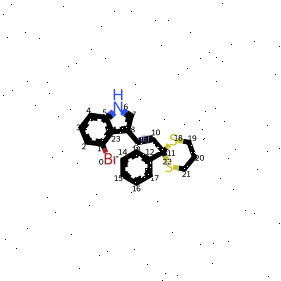 Brc1cccc2[nH]cc(/C=C/C3(c4ccccc4)SCCCS3)c12